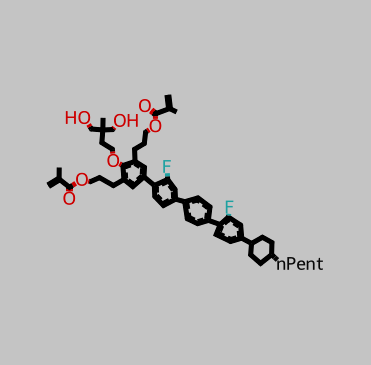 C=C(C)C(=O)OCCCc1cc(-c2ccc(-c3ccc(-c4ccc(C5CCC(CCCCC)CC5)cc4F)cc3)cc2F)cc(CCCOC(=O)C(=C)C)c1OCCC(C)(CO)CO